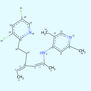 C/C=C(\C=C(\C)Nc1cc(C)ncc1C)CCc1ncc(F)cc1F